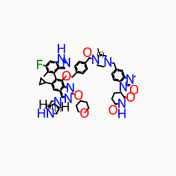 Cc1c(F)cc2[nH]ncc2c1-c1c(C2CC2)cc2c(N3C[C@@H]4C[C@H]3CN4)nc(OC3CCOCC3)nc2c1OCc1ccc(C(=O)N2CCN(Cc3ccc4c(c3)n(C)c(=O)n4C3CCC(=O)NC3=O)C[C@@H]2C)cc1